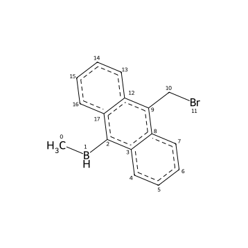 CBc1c2ccccc2c(CBr)c2ccccc12